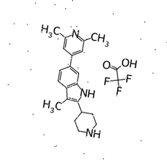 Cc1cc(-c2ccc3c(C)c(C4CCNCC4)[nH]c3c2)cc(C)n1.O=C(O)C(F)(F)F